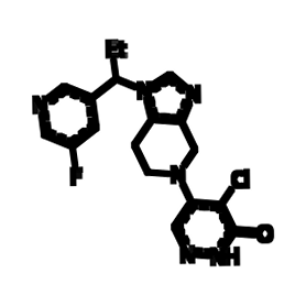 CCC(c1cncc(F)c1)n1cnc2c1CCN(c1cn[nH]c(=O)c1Cl)C2